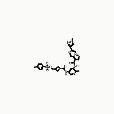 Cc1ccc(S(=O)(=O)OCC2CN(C(=O)Nc3cnc(C)c(NC(=O)c4cnn5cc(-c6cnn(C)c6)ncc45)c3)C2)cc1